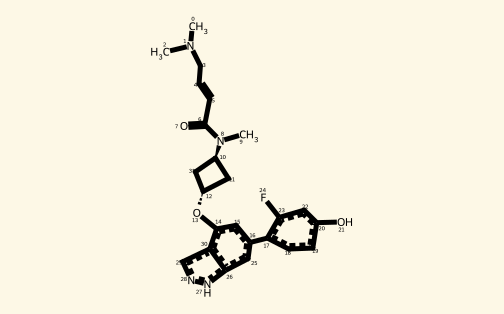 CN(C)C/C=C/C(=O)N(C)[C@H]1C[C@H](Oc2cc(-c3ccc(O)cc3F)cc3[nH]ncc23)C1